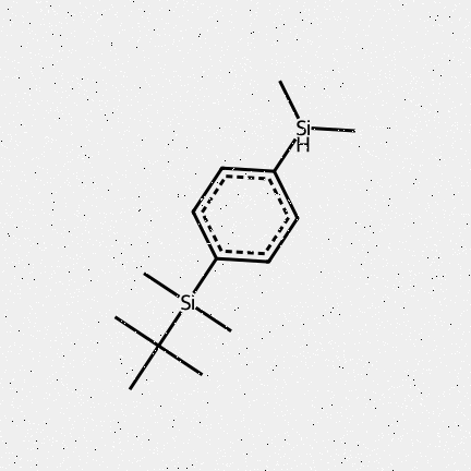 C[SiH](C)c1ccc([Si](C)(C)C(C)(C)C)cc1